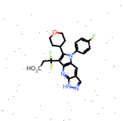 O=C(O)CC(F)(F)c1c(C2CCOCC2)n(-c2ccc(F)cc2)c2cc3cn[nH]c3nc12